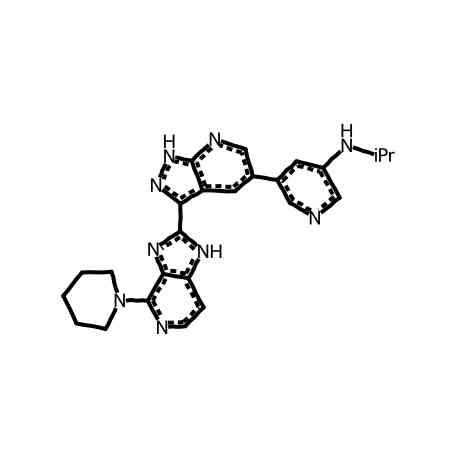 CC(C)Nc1cncc(-c2cnc3[nH]nc(-c4nc5c(N6CCCCC6)nccc5[nH]4)c3c2)c1